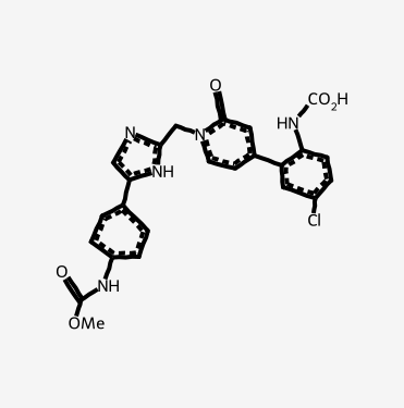 COC(=O)Nc1ccc(-c2cnc(Cn3ccc(-c4cc(Cl)ccc4NC(=O)O)cc3=O)[nH]2)cc1